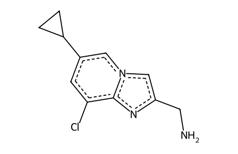 NCc1cn2cc(C3CC3)cc(Cl)c2n1